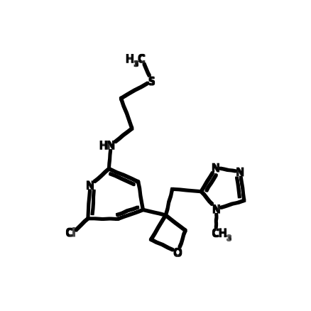 CSCCNc1cc(C2(Cc3nncn3C)COC2)cc(Cl)n1